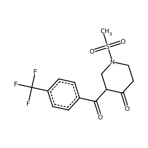 CS(=O)(=O)N1CCC(=O)C(C(=O)c2ccc(C(F)(F)F)cc2)C1